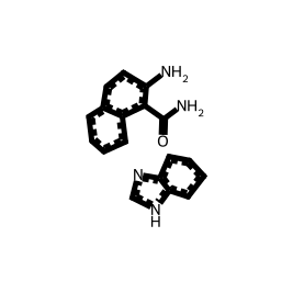 NC(=O)c1c(N)ccc2ccccc12.c1ccc2[nH]cnc2c1